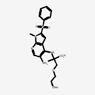 COCCOCC(C)(Nc1c([N+](=O)[O-])cnc2c1cc(S(=O)(=O)c1ccccc1)n2C)C(=O)O